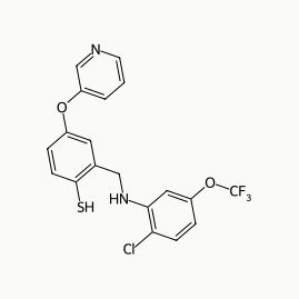 FC(F)(F)Oc1ccc(Cl)c(NCc2cc(Oc3cccnc3)ccc2S)c1